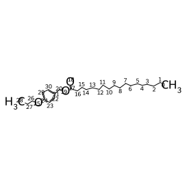 CCCCCCCCCCCCCCCCCC(=O)OCc1ccc(OCCC)cc1